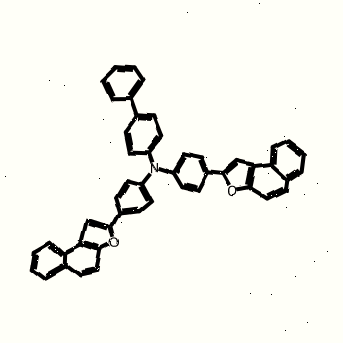 c1ccc(-c2ccc(N(c3ccc(-c4cc5c(ccc6ccccc65)o4)cc3)c3ccc(-c4cc5c(ccc6ccccc65)o4)cc3)cc2)cc1